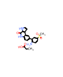 CCC(=O)O.CS(=O)(=O)c1ccc(N)c(-c2ccc3[nH]c(=O)c4[nH]ccc4c3c2)c1